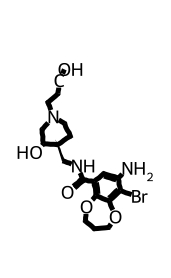 Nc1cc(C(=O)NC[C@@H]2CCN(CCCO)CC2O)c2c(c1Br)OCCCO2